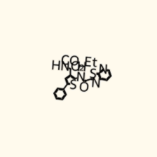 CCOC(=O)NC(=O)c1cc(-c2ccccc2)sc1NC(=O)c1nc2cccnc2s1